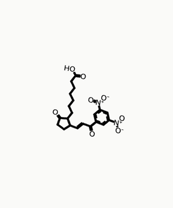 O=C(O)CCCCCCC1C(=O)CCC1/C=C/C(=O)c1cc([N+](=O)[O-])cc([N+](=O)[O-])c1